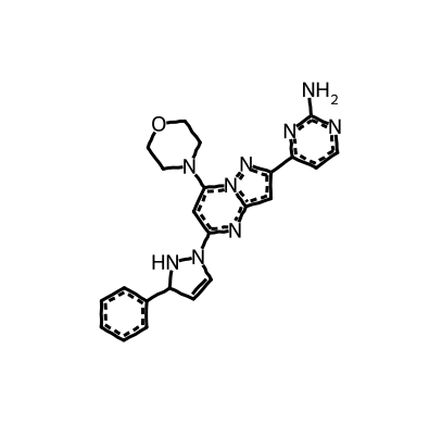 Nc1nccc(-c2cc3nc(N4C=CC(c5ccccc5)N4)cc(N4CCOCC4)n3n2)n1